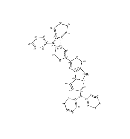 C1=CCCC(N(C2=CCCC=C2)C2=CC3NC4=C(C=C(C5=Cc6c(n(-c7ccccc7)c7c6=CCCC=7)CC5)CC4)C3C=C2)=C1